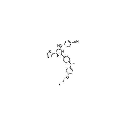 CCCCOc1ccc(C(C)N2CCN(c3nc(Nc4ccc(C#N)cc4)cc(-c4cncs4)n3)CC2)cc1